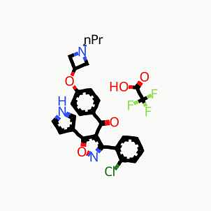 CCCN1CC(Oc2ccc(C(=O)c3c(-c4ccccc4Cl)noc3-c3cc[nH]c3)cc2)C1.O=C(O)C(F)(F)F